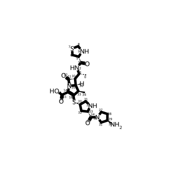 C[C@@H](NC(=O)[C@@H]1CSCN1)[C@H]1C(=O)N2C(C(=O)O)=C(S[C@@H]3CN[C@H](C(=O)N4CC[C@@H](N)C4)C3)[C@H](C)[C@H]12